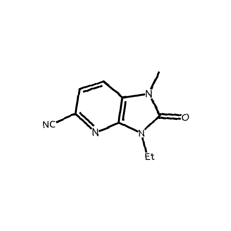 CCn1c(=O)n(C)c2ccc(C#N)nc21